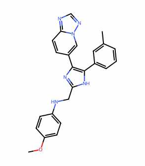 COc1ccc(NCc2nc(-c3ccc4ncnn4c3)c(-c3cccc(C)c3)[nH]2)cc1